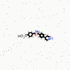 O=C(O)C1CCC(c2nnc(-c3ccc(C4CCNCC4)cc3)o2)CC1